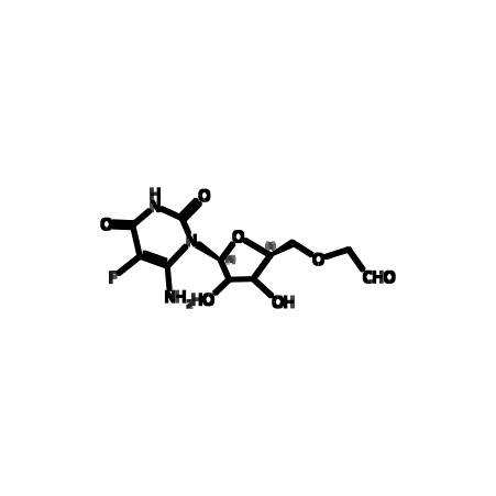 Nc1c(F)c(=O)[nH]c(=O)n1[C@H]1O[C@@H](COCC=O)C(O)C1O